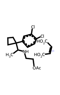 CC(=O)OCCNC(C)C1(c2ccc(Cl)c(Cl)c2)CCC1.O=C(O)/C=C\C(=O)O